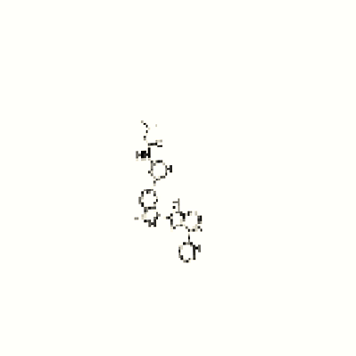 CC(C)CC(=O)Nc1cncc(-c2ccc3[nH]nc(-c4nc5c(-c6ccccn6)nccc5[nH]4)c3c2)c1